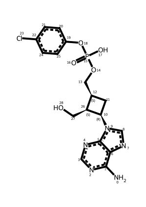 Nc1ncnc2c1ncn2[C@@H]1C[C@H](COP(=O)(O)Oc2ccc(Cl)cc2)[C@@H]1CO